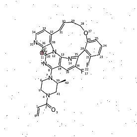 C=CC(=O)N1CCN(c2nc(=O)n3c4nc(c(F)cc24)-c2c(F)cccc2OCC/C=C/c2ccnc(C(C)C)c2-3)[C@@H](C)C1